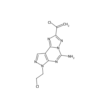 C=C(Cl)c1nc2c3cnn(CCCl)c3nc(N)n2n1